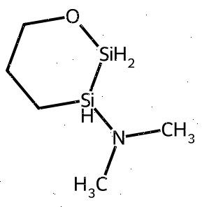 CN(C)[SiH]1CCCO[SiH2]1